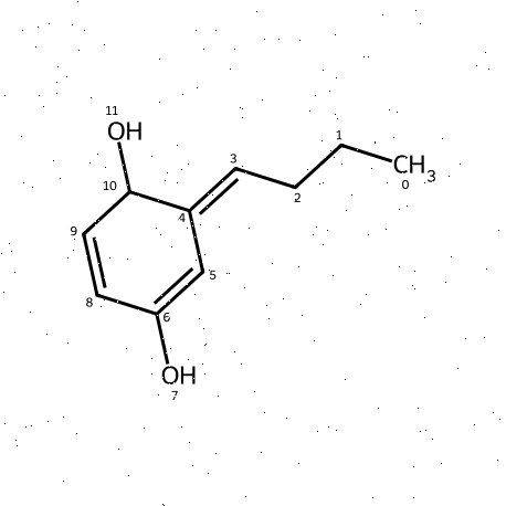 CCCC=C1C=C(O)C=CC1O